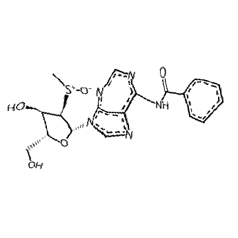 C[S+]([O-])[C@@H]1[C@H](O)[C@@H](CO)O[C@H]1n1cnc2c(NC(=O)c3ccccc3)ncnc21